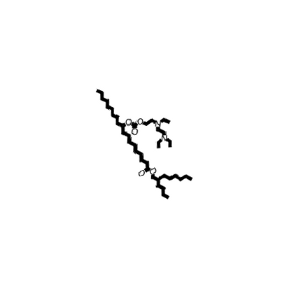 CCCCCCCCCC(CCCCCCCCC(=O)OCC(CCCC)CCCCCC)OC(=O)OCCN(CC)CCN(CC)CC